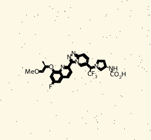 COC[C@@H](C)Oc1cc(F)cc2ccc(-c3nnc4ccc([C@@H](N5CC[C@H](NC(=O)O)C5)C(F)(F)F)cn34)nc12